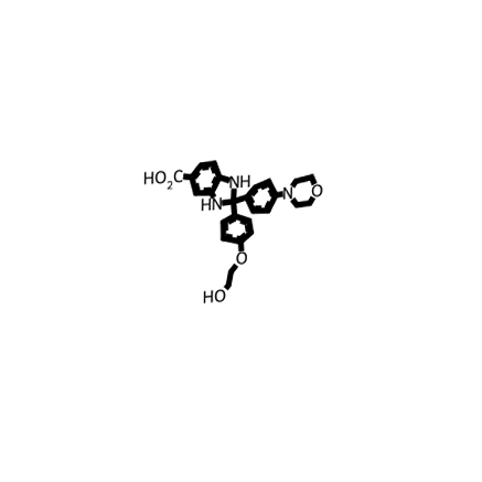 O=C(O)c1ccc2c(c1)NC(c1ccc(OCCO)cc1)(c1ccc(N3CCOCC3)cc1)N2